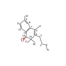 CCCCC1=C(C)c2cc(C)ccc2C(=O)C1(C)C